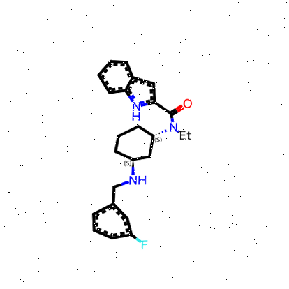 CCN(C(=O)c1cc2ccccc2[nH]1)[C@H]1CCC[C@H](NCc2cccc(F)c2)C1